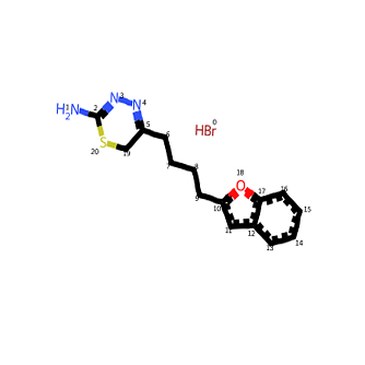 Br.NC1=NN=C(CCCCc2cc3ccccc3o2)CS1